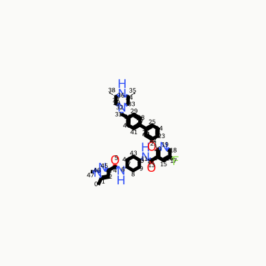 Cc1cc(C(=O)N[C@H]2CC[C@H](NC(=O)c3cc(F)cnc3Oc3cccc(-c4ccc(CN5C[C@@H](C)N[C@@H](C)C5)cc4)c3)CC2)nn1C